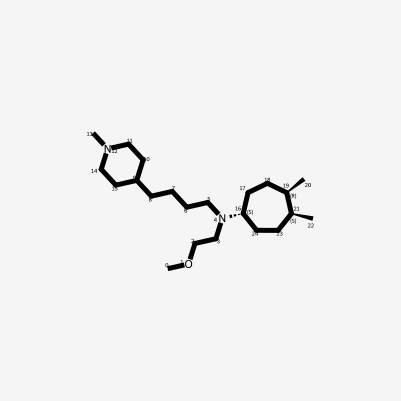 COCCN(CCCCC1CCN(C)CC1)[C@@H]1CC[C@@H](C)[C@@H](C)CC1